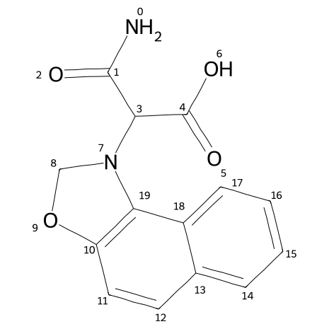 NC(=O)C(C(=O)O)N1COc2ccc3ccccc3c21